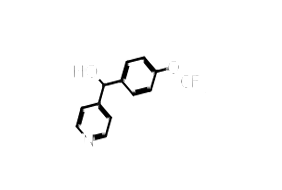 OC(c1ccncc1)c1ccc(OC(F)(F)F)cc1